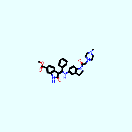 COC(=O)c1ccc2c(c1)NC(=O)/C2=C(\Nc1ccc2c(c1)CCN2C(=O)CN1CCN(C)CC1)c1ccccc1